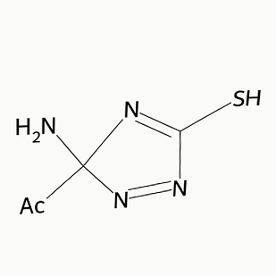 CC(=O)C1(N)N=NC(S)=N1